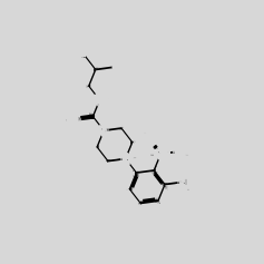 CC(C)COC(=O)N1CCN(c2cccc(N)c2[N+](=O)[O-])CC1